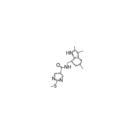 CSc1ncc(C(=O)NCc2cc(C)cc3c(C)c(C)[nH]c23)cn1